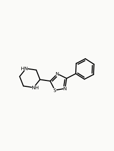 c1ccc(-c2nsc(C3CNCCN3)n2)cc1